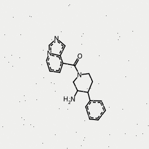 NC1CN(C(=O)c2cccn3cncc23)CCC1c1ccccc1